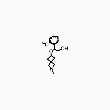 COc1ccccc1C(CO)OC1CC2(C1)CN(C)C2